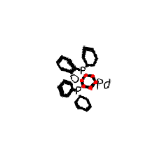 [Pd].c1ccc(P(C2CCCCC2)C2CCCCC2)c(Oc2ccccc2P(C2CCCCC2)C2CCCCC2)c1